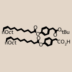 CCCCCCCC/C=C\CCCCCCCC(=O)Oc1ccc(CC(=O)O)cc1.CCCCCCCC/C=C\CCCCCCCC(=O)Oc1ccc(CC(=O)OC(C)(C)C)cc1